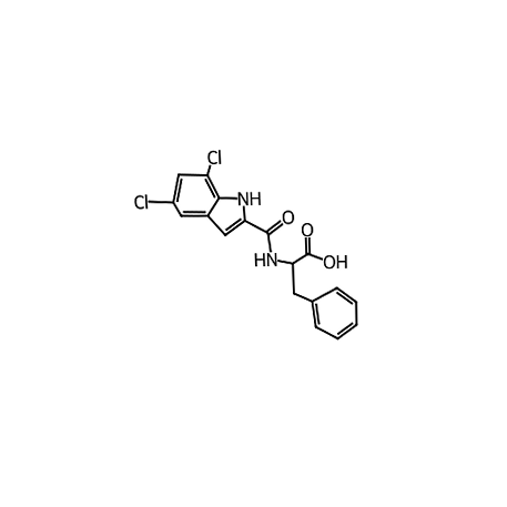 O=C(NC(Cc1ccccc1)C(=O)O)c1cc2cc(Cl)cc(Cl)c2[nH]1